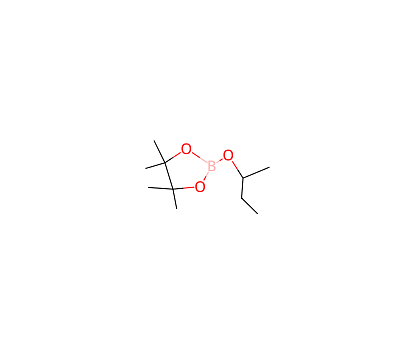 CCC(C)OB1OC(C)(C)C(C)(C)O1